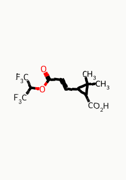 CC1(C)C(C=CC(=O)OC(C(F)(F)F)C(F)(F)F)C1C(=O)O